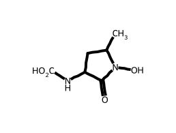 CC1CC(NC(=O)O)C(=O)N1O